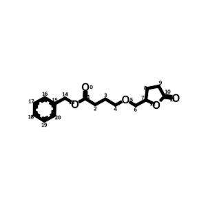 O=C(CCCOCC1CCC(=O)O1)OCc1ccccc1